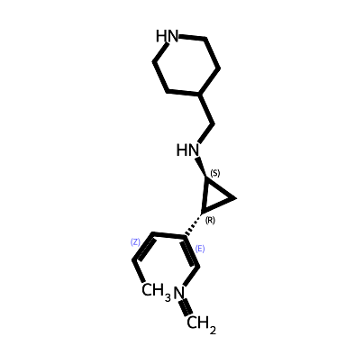 C=N/C=C(\C=C/C)[C@H]1C[C@@H]1NCC1CCNCC1